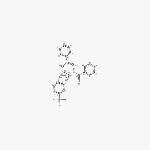 CC(C)(C)c1ccc2c(c1)C1CC2[C@H](OC(=O)c2ccccc2)[C@@H]1OC(=O)c1ccccc1